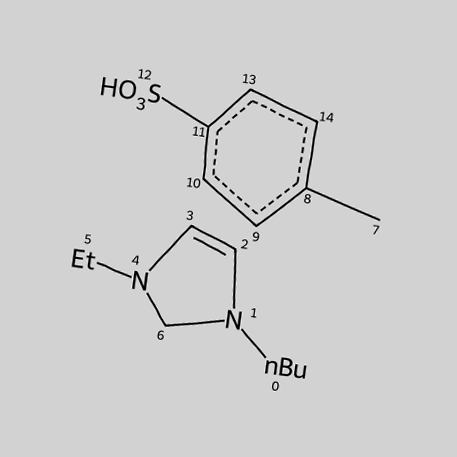 CCCCN1C=CN(CC)C1.Cc1ccc(S(=O)(=O)O)cc1